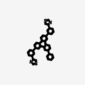 c1ccc(-c2ccc3c4cc(-c5cccc(-c6cscn6)c5)ccc4c4ccc(-c5cccc(-c6cscn6)c5)cc4c3c2)cc1